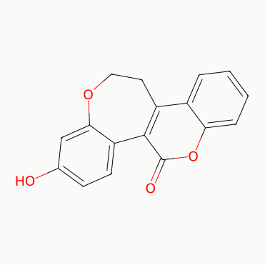 O=c1oc2ccccc2c2c1-c1ccc(O)cc1OCC2